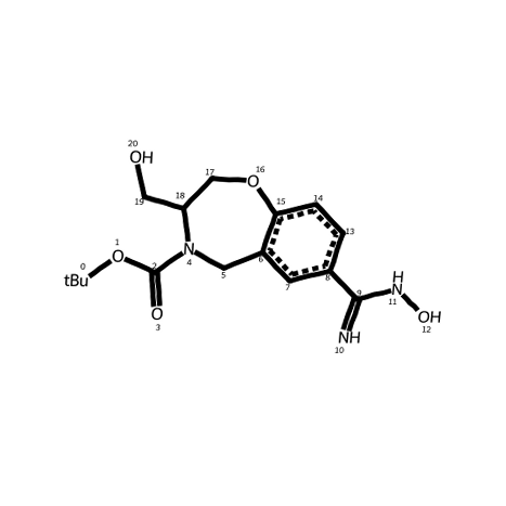 CC(C)(C)OC(=O)N1Cc2cc(C(=N)NO)ccc2OCC1CO